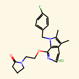 Cc1c(C)n(Cc2ccc(F)cc2)c2c(OCCN3CCCC3=O)nccc12.Cl